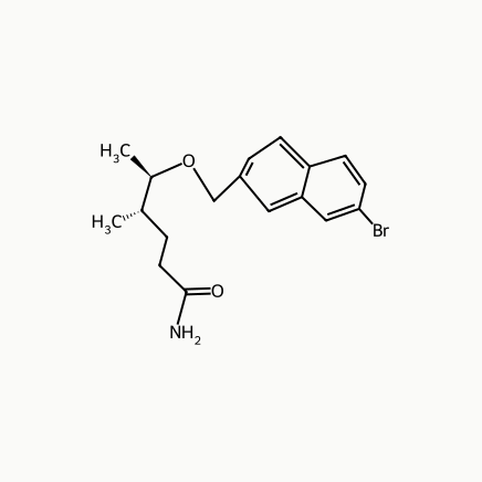 C[C@@H](CCC(N)=O)[C@@H](C)OCc1ccc2ccc(Br)cc2c1